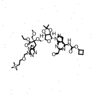 CCOP(=O)(OCC)[C@@](COC)(Cc1nnn(COCC[Si](C)(C)C)n1)OC[C@H]1O[C@@H](n2ncc3c(NC(=O)OC4CCC4)nc(C=O)nc32)[C@@H]2OC(C)(C)O[C@@H]21